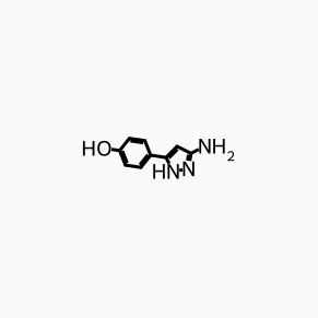 Nc1cc(-c2ccc(O)cc2)[nH]n1